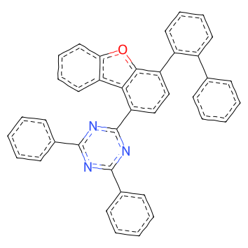 c1ccc(-c2nc(-c3ccccc3)nc(-c3ccc(-c4ccccc4-c4ccccc4)c4oc5ccccc5c34)n2)cc1